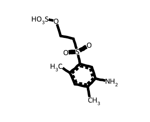 Cc1cc(C)c(S(=O)(=O)CCOS(=O)(=O)O)cc1N